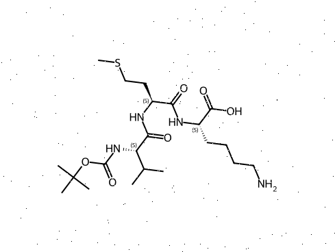 CSCC[C@H](NC(=O)[C@@H](NC(=O)OC(C)(C)C)C(C)C)C(=O)N[C@@H](CCCCN)C(=O)O